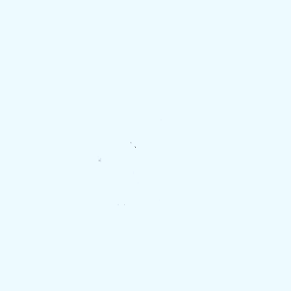 O=C(C[N+]12CCC(C(O)(c3ccccc3)c3ccccc3)(CC1)CC2)c1ccc2ccccc2c1.[Br-]